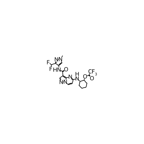 Cn1cc(NC(=O)c2cnn3ccc(N[C@@H]4CCCC[C@@H]4OC(=O)C(F)(F)F)nc23)c(C(F)F)n1